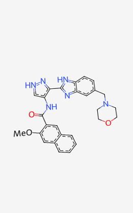 COc1cc2ccccc2cc1C(=O)Nc1c[nH]nc1-c1nc2cc(CN3CCOCC3)ccc2[nH]1